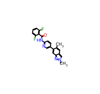 Cc1cc2cn(C)nc2cc1-c1ccc(NC(=O)c2c(F)cccc2F)nc1